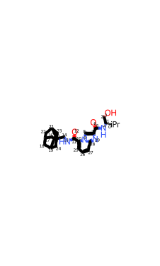 CC(C)[C@H](CO)NC(=O)c1cn2c(C(=O)NCC34CC5CC(CC(C5)C3)C4)cccc2n1